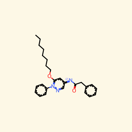 CCCCCCCCOc1c/c(=N/C(=O)Cc2ccccc2)cnn1-c1ccccc1